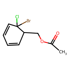 CC(=O)OCC1C=CC=CC1(Cl)Br